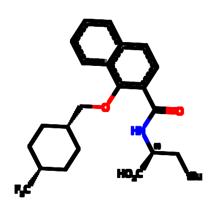 CC(C)(C)C[C@H](NC(=O)c1ccc2ccccc2c1OC[C@H]1CC[C@@H](C(F)(F)F)CC1)C(=O)O